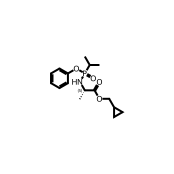 CC(C)P(=O)(N[C@@H](C)C(=O)OCC1CC1)Oc1ccccc1